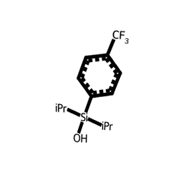 CC(C)[Si](O)(c1ccc(C(F)(F)F)cc1)C(C)C